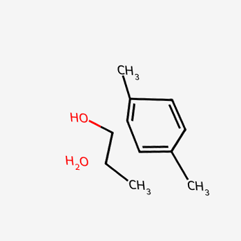 CCCO.Cc1ccc(C)cc1.O